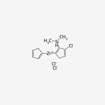 C[SiH](C)C1=[C]([Zr+2][C]2=CC=CC2)CC=C1Cl.[Cl-].[Cl-]